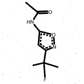 CC(=O)Nc1cc(C(C)(C)F)no1